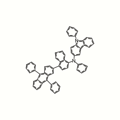 c1ccc(-c2c3ccccc3c(-c3ccccc3)c3cc(-c4ccc(N(c5ccccc5)c5ccc6c(c5)c5ccccc5n6-c5ccccc5)c5ccccc45)ccc23)cc1